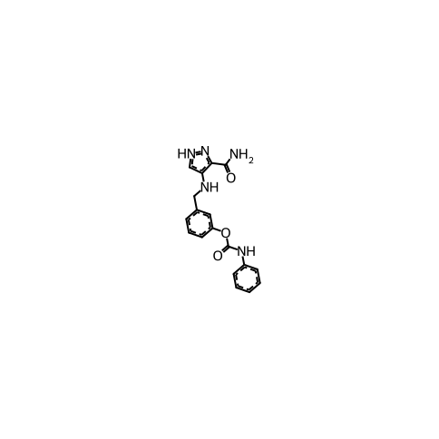 NC(=O)c1n[nH]cc1NCc1cccc(OC(=O)Nc2ccccc2)c1